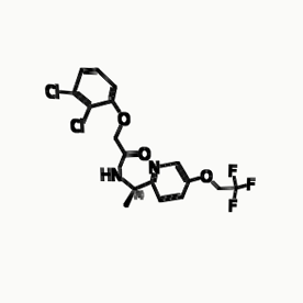 C[C@@H](NC(=O)COc1cccc(Cl)c1Cl)c1ccc(OCC(F)(F)F)cn1